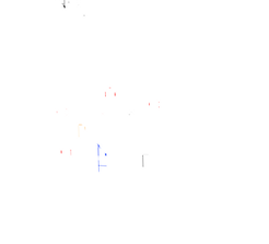 CC[C@H](NP(=O)(Oc1ccccc1)Oc1ccc([N+](=O)[O-])cc1)C(=O)OC1CCCCC1